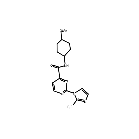 COC1CCC(NC(=O)c2ccnc(-n3ccnc3C(F)(F)F)n2)CC1